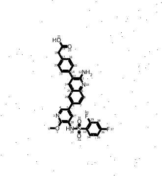 COc1ncc(-c2ccc3nc(N)c(-c4ccc(CC(=O)O)cc4)cc3c2)cc1NS(=O)(=O)c1ccc(F)cc1F